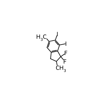 Cc1cc2c(c(I)c1I)C(F)(F)C(C)C2